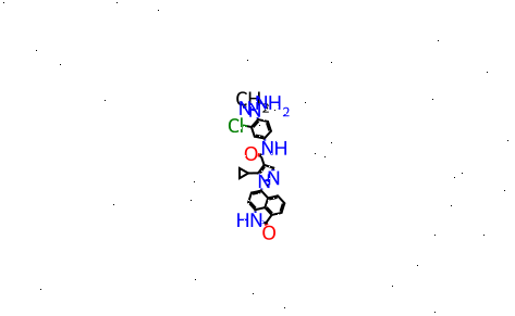 C=NN(N)c1ccc(NC(=O)c2cnn(-c3ccc4c5c(cccc35)C(=O)N4)c2C2CC2)cc1Cl